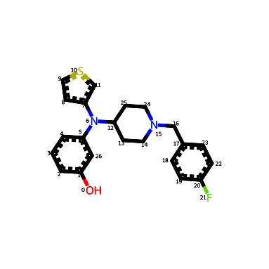 Oc1cccc(N(c2ccsc2)C2CCN(Cc3ccc(F)cc3)CC2)c1